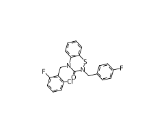 O=C1N(Cc2ccc(F)cc2)Sc2ccccc2N1Cc1c(F)cccc1Cl